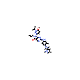 C=CCn1c(=O)c2cnc(Nc3ccc(N4CC5(CCCN5C)C4)c(C)c3)nc2n1-c1ccc(=O)n(C(C)C)n1